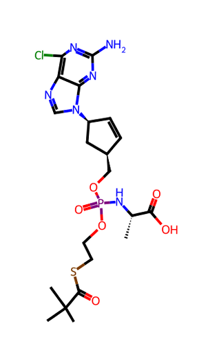 C[C@H](NP(=O)(OCCSC(=O)C(C)(C)C)OC[C@@H]1C=C[C@H](n2cnc3c(Cl)nc(N)nc32)C1)C(=O)O